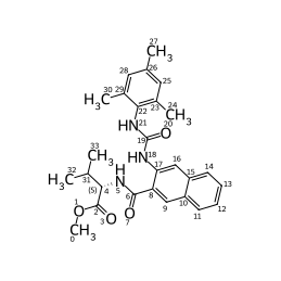 COC(=O)[C@@H](NC(=O)c1cc2ccccc2cc1NC(=O)Nc1c(C)cc(C)cc1C)C(C)C